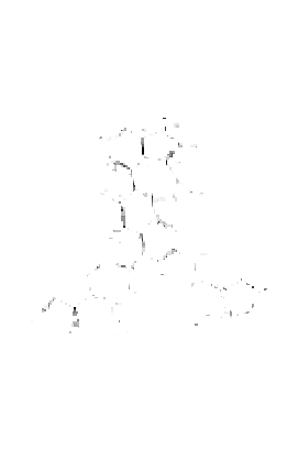 C=CC(=O)N1C[C@H](C)N(c2nc(OCC3CCCN3C)nc3c(F)c(-c4c(C)ccc5[nH]nc(C6CC6)c45)c(Cl)cc23)C[C@H]1C